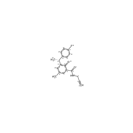 C#CCNC(=O)c1cc(C)nn([C@H](C)c2ccc(F)cc2)c1=O